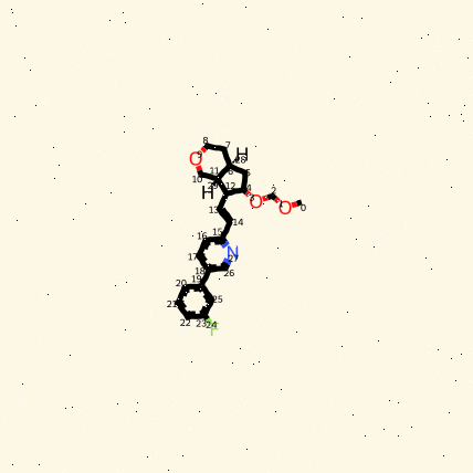 COCOC1C[C@@H]2CCOC[C@H]2C1C=Cc1ccc(-c2cccc(F)c2)cn1